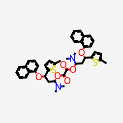 Cc1ccc(C(CC(OC(=O)C(=O)OC(CC(Oc2cccc3ccccc23)c2ccc(C)s2)N(C)C)N(C)C)Oc2cccc3ccccc23)s1